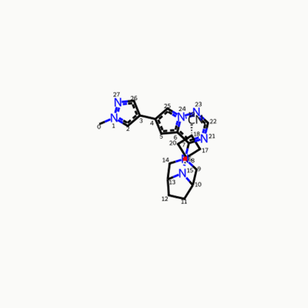 Cn1cc(-c2cc3c(N4CC5CCC(C4)N5[C@H]4C[C@@H](C#N)C4)ncnn3c2)cn1